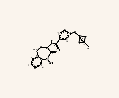 CN1C(=S)C(NC(=O)c2ncn(CC34CC(F)(C3)C4)n2)COc2cccnc21